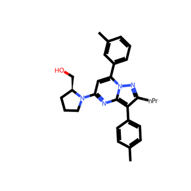 CCCc1nn2c(-c3cccc(C)c3)cc(N3CCC[C@H]3CO)nc2c1-c1ccc(C)cc1